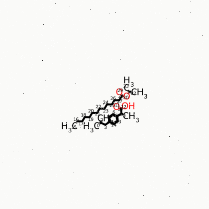 CC(C)Cc1ccc(C(C)C(=O)O)cc1.CCCCCCCCCCCCCC(=O)OC(C)C